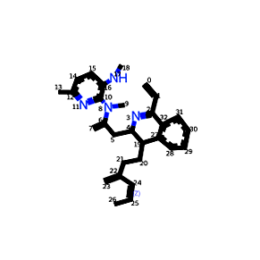 C=CC1=NC(CC(=C)N(C)c2nc(C)ccc2NC)C(CCC(=C)/C=C\C)c2ccccc21